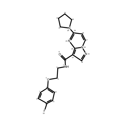 O=C(NCCOc1ccc(F)cc1)c1cnn2ccc(N3CCCC3)nc12